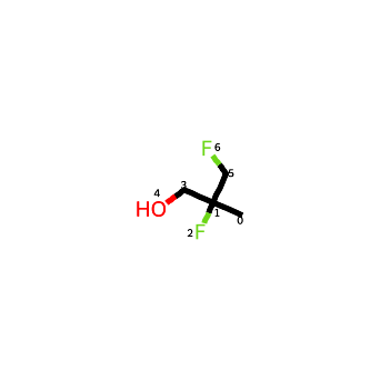 CC(F)(CO)CF